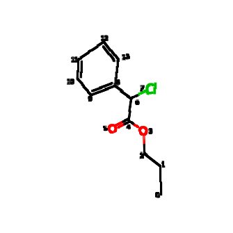 CCCOC(=O)C(Cl)c1ccccc1